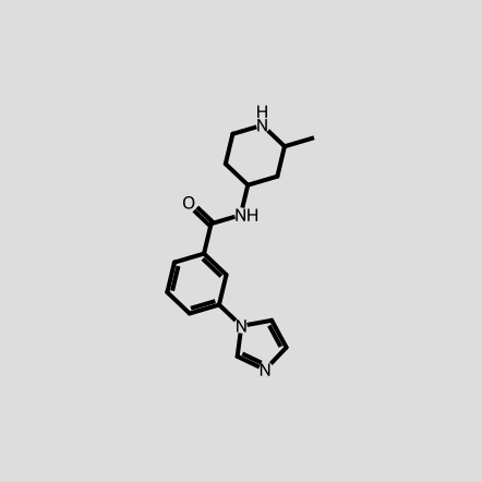 CC1CC(NC(=O)c2cccc(-n3ccnc3)c2)CCN1